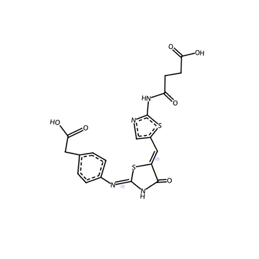 O=C(O)CCC(=O)Nc1ncc(/C=C2\S/C(=N\c3ccc(CC(=O)O)cc3)NC2=O)s1